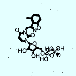 Cc1cccc2onc(Cn3c(=O)ccn(C4OC(COP(=O)(O)OP(=O)(O)O)C(O)C4O)c3=O)c12